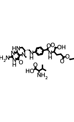 CC(C)C(N)C(=O)O.CCOC(=O)CCC(NC(=O)c1ccc(NC[C@H]2CNc3nc(N)[nH]c(=O)c3N2C)cc1)C(=O)O